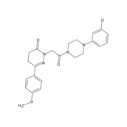 COc1ccc(C2=NN(CC(=O)N3CCN(c4cccc(Cl)c4)CC3)C(=O)CC2)cc1